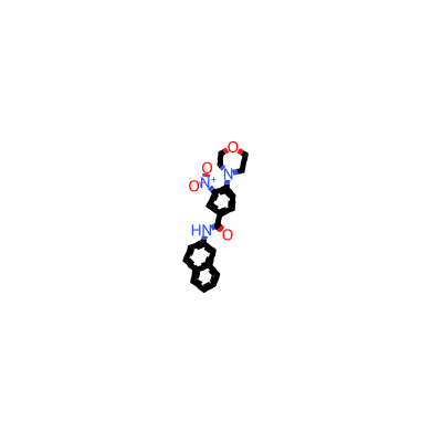 O=C(Nc1ccc2ccccc2c1)c1ccc(N2CCOCC2)c([N+](=O)[O-])c1